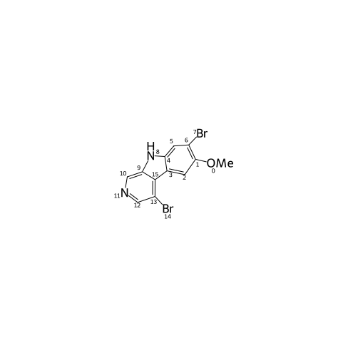 COc1cc2c(cc1Br)[nH]c1cncc(Br)c12